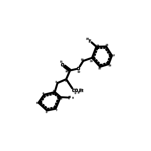 CCOC(=O)C(Cc1ccccc1F)C(=O)OCc1ccccc1F